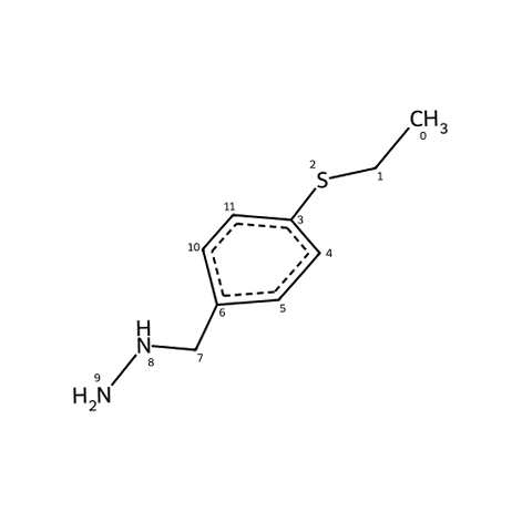 CCSc1ccc(CNN)cc1